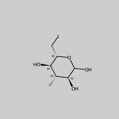 C[C@@H]1[C@@H](O)[C@H](CI)OC(O)[C@H]1O